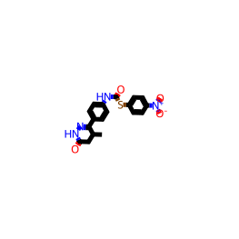 CC1CC(=O)NN=C1c1ccc(NC(=O)Sc2ccc([N+](=O)[O-])cc2)cc1